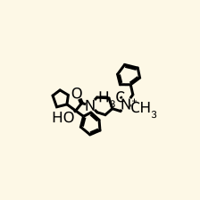 C[N+](C)(Cc1ccccc1)CC1CCN(C(=O)C(O)(c2ccccc2)C2CCCC2)CC1